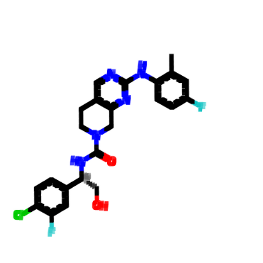 Cc1cc(F)ccc1Nc1ncc2c(n1)CN(C(=O)N[C@H](CO)c1ccc(Cl)c(F)c1)CC2